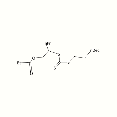 CCCCCCCCCCCCSC(=S)SC(CCC)COC(=O)CC